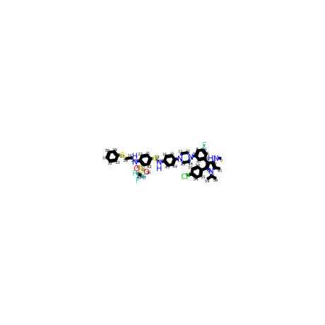 CNc1c(-c2cc(F)cc(N3CCN(c4ccc(NSc5ccc(NCCSc6ccccc6)c(S(=O)(=O)C(F)(F)F)c5)cc4)CC3)c2)c(-c2ccc(Cl)cc2)n(C(C)C)c1C